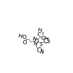 CC(C)c1nc(CCC(=O)O)n(Cc2ccncc2)c1Sc1ccccc1